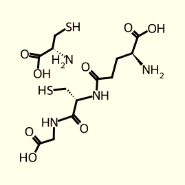 N[C@@H](CCC(=O)N[C@@H](CS)C(=O)NCC(=O)O)C(=O)O.N[C@@H](CS)C(=O)O